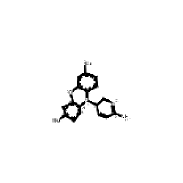 CC(C)(C)c1ccc2c(c1)Oc1cc(C(C)(C)C)ccc1N2C1C=CC(N)=NC1